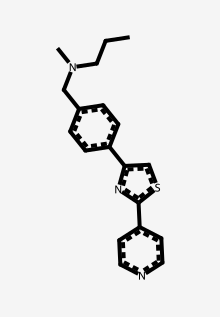 CCCN(C)Cc1ccc(-c2csc(-c3ccncc3)n2)cc1